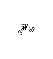 c1ccc(-c2cc(-c3cccc4ccccc34)ccc2N(c2ccccc2)c2ccc(-c3ccc4ccc5ccccc5c4c3)c(-c3ccccc3)c2-c2ccccc2)cc1